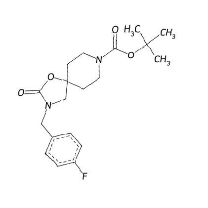 CC(C)(C)OC(=O)N1CCC2(CC1)CN(Cc1ccc(F)cc1)C(=O)O2